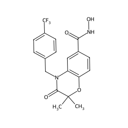 CC1(C)Oc2ccc(C(=O)NO)cc2N(Cc2ccc(C(F)(F)F)cc2)C1=O